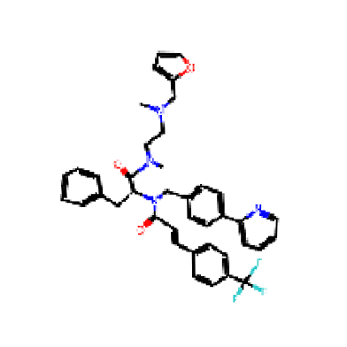 CN(CCN(C)C(=O)[C@H](Cc1ccccc1)N(Cc1ccc(-c2ccccn2)cc1)C(=O)C=Cc1ccc(C(F)(F)F)cc1)Cc1ccco1